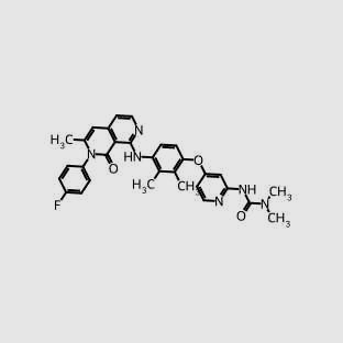 Cc1c(Nc2nccc3cc(C)n(-c4ccc(F)cc4)c(=O)c23)ccc(Oc2ccnc(NC(=O)N(C)C)c2)c1C